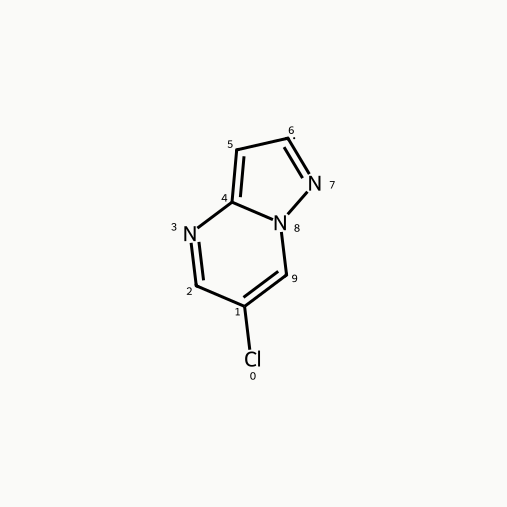 Clc1cnc2c[c]nn2c1